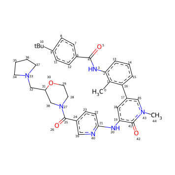 Cc1c(NC(=O)c2ccc(C(C)(C)C)cc2)cccc1-c1cc(Nc2ccc(C(=O)N3CCOC(CN4CCCC4)C3)cn2)c(=O)n(C)c1